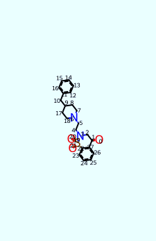 O=C1CN(CCN2CCC(Cc3ccccc3)CC2)S(=O)(=O)c2ccccc21